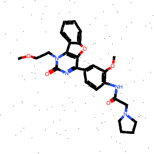 COCCn1c(=O)nc(-c2ccc(NC(=O)CN3CCCC3)c(OC)c2)c2oc3ccccc3c21